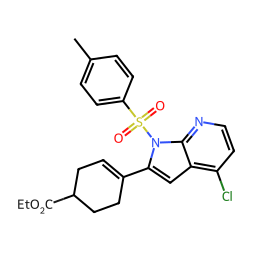 CCOC(=O)C1CC=C(c2cc3c(Cl)ccnc3n2S(=O)(=O)c2ccc(C)cc2)CC1